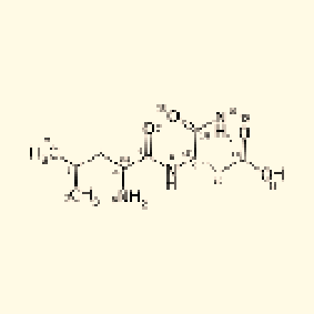 CC(C)C[C@H](N)C(=O)N[C@@H](CC(=O)O)C(N)=O